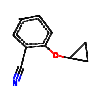 N#Cc1c[c]ccc1OC1CC1